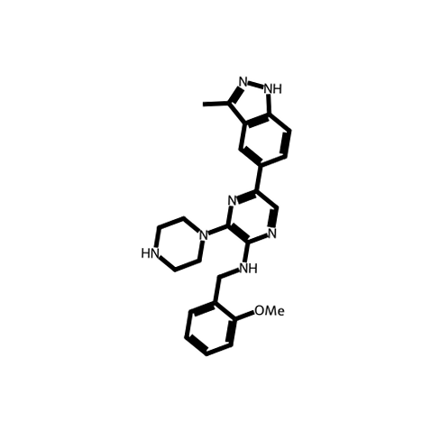 COc1ccccc1CNc1ncc(-c2ccc3[nH]nc(C)c3c2)nc1N1CCNCC1